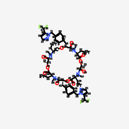 CC(C)C[C@H]1CO[C@H](Cc2ccc(Cn3nccc3C(F)F)cc2)C(=O)N(C)[C@@H](CC(C)C)C(=O)O[C@H](C)C(=O)N(C)[C@@H](CC(C)C)C(=O)O[C@H](Cc2ccc(Cn3nccc3C(F)F)cc2)C(=O)N(C)[C@@H](CC(C)C)C(=O)O[C@H](C)C(=O)N1C